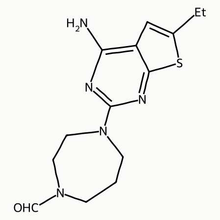 CCc1cc2c(N)nc(N3CCCN(C=O)CC3)nc2s1